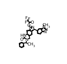 CC(c1ccccc1)N1Cc2cc3c(-c4ccc5nnn(C)c5c4)nn(OC(=O)C(F)(F)F)c3cc2NC1=O